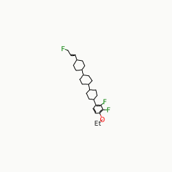 CCOc1ccc(C2CCC(C3CCC(C4CCC(/C=C/CF)CC4)CC3)CC2)c(F)c1F